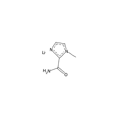 Cn1ccnc1C(N)=O.[Li]